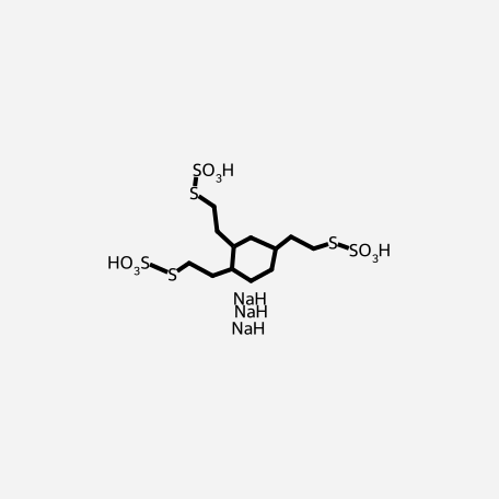 O=S(=O)(O)SCCC1CCC(CCSS(=O)(=O)O)C(CCSS(=O)(=O)O)C1.[NaH].[NaH].[NaH]